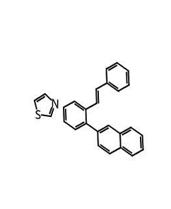 C(=Cc1ccccc1-c1ccc2ccccc2c1)c1ccccc1.c1cscn1